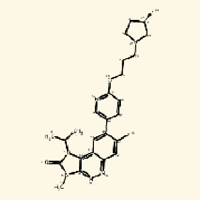 CC(C)n1c(=O)n(C)c2nnc3cc(F)c(-c4ccc(OCCCN5CC[C@@H](F)C5)nc4)cc3c21